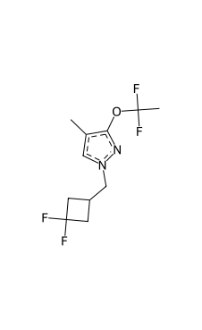 Cc1cn(CC2CC(F)(F)C2)nc1OC(C)(F)F